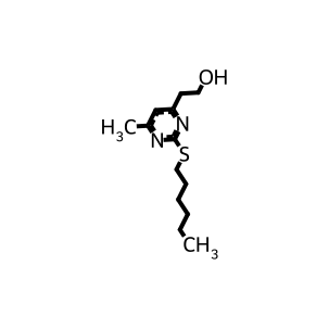 CCCCCCSc1nc(C)cc(CCO)n1